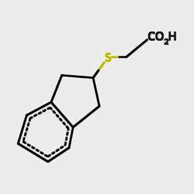 O=C(O)CSC1Cc2ccccc2C1